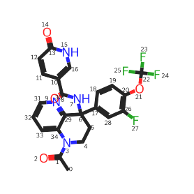 CC(=O)N1CCC(NC(=O)c2ccc(=O)[nH]c2)(c2ccc(OC(F)(F)F)c(F)c2)c2ncccc21